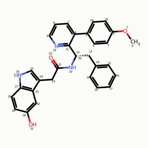 COc1ccc(-c2cccnc2[C@H](Cc2ccccc2)NC(=O)Cc2c[nH]c3ccc(O)cc23)cc1